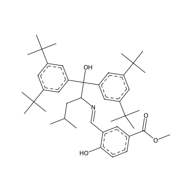 COC(=O)c1ccc(O)c(C=NC(CC(C)C)C(O)(c2cc(C(C)(C)C)cc(C(C)(C)C)c2)c2cc(C(C)(C)C)cc(C(C)(C)C)c2)c1